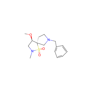 CO[C@@H]1CN(C)S(=O)(=O)[C@@]12CCN(Cc1ccccc1)C2